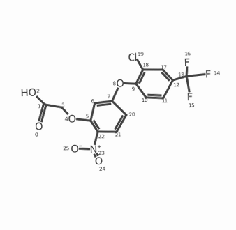 O=C(O)COc1cc(Oc2ccc(C(F)(F)F)cc2Cl)ccc1[N+](=O)[O-]